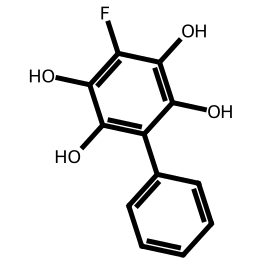 Oc1c(O)c(-c2ccccc2)c(O)c(O)c1F